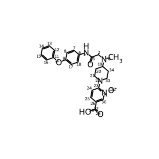 CN(CC(=O)Nc1ccc(Oc2ccccc2)cc1)C1CCN(c2ccc(C(=O)O)c[n+]2[O-])CC1